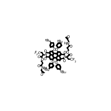 CC(C)(C)c1ccc(Oc2cc3c4c(cc(Oc5ccc(C(C)(C)C)cc5)c5c6c(Oc7ccc(C(C)(C)C)cc7)cc7c8c(cc(Oc9ccc(C(C)(C)C)cc9)c(c2c45)c86)C(=O)N(C(CC(F)(F)F)C(=O)OCCC(=O)NCC2CO2)C7=O)C(=O)N(C(CC(F)(F)F)C(=O)OCCC(=O)NCC2CO2)C3=O)cc1